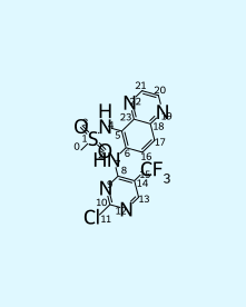 CS(=O)(=O)Nc1c(Nc2nc(Cl)ncc2C(F)(F)F)ccc2nccnc12